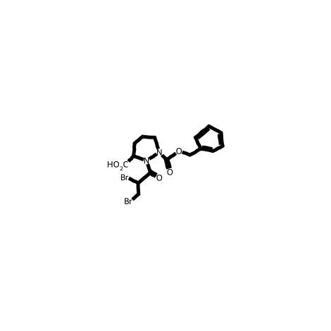 O=C(O)C1CCCN(C(=O)OCc2ccccc2)N1C(=O)C(Br)CBr